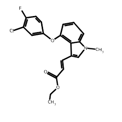 CCOC(=O)C=Cc1cn(C)c2cccc(Oc3ccc(F)c(Cl)c3)c12